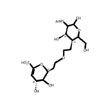 CC(=O)NC1C(O)OC(CO)[C@@H](CCOCC[C@@H]2OC(C(=O)O)=C[C@@H](O)C2O)[C@H]1O